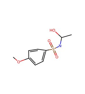 COc1ccc(S(=O)(=O)[N]C(C)O)cc1